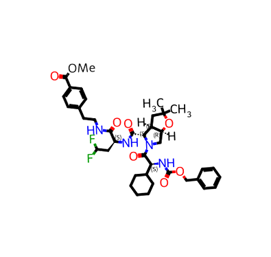 COC(=O)c1ccc(CCNC(=O)[C@H](CC(F)F)NC(=O)[C@@H]2[C@H]3CC(C)(C)O[C@H]3CN2C(=O)[C@@H](NC(=O)OCc2ccccc2)C2CCCCC2)cc1